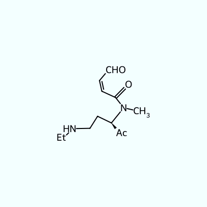 CCNCC[C@H](C(C)=O)N(C)C(=O)/C=C\C=O